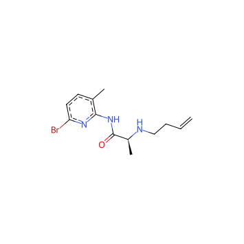 C=CCCN[C@@H](C)C(=O)Nc1nc(Br)ccc1C